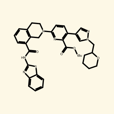 CC(C)(C)OC(=O)c1nc(N2CCc3cccc(C(=O)Nc4nc5ccccc5s4)c3C2)ccc1-c1cnn(CC2CCCCO2)c1